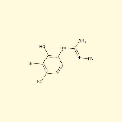 N#CN=C(N)Nc1ccc(C#N)c(Br)c1O